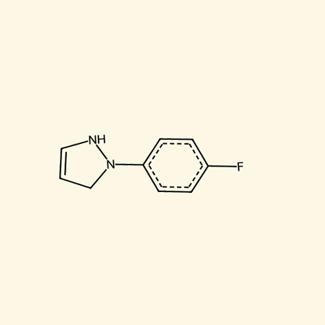 Fc1ccc(N2CC=CN2)cc1